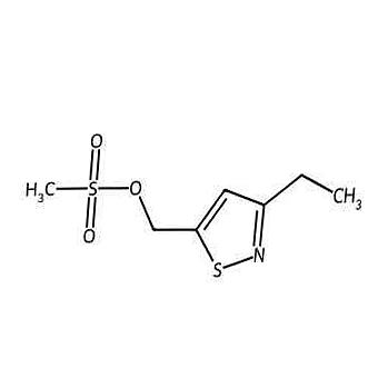 CCc1cc(COS(C)(=O)=O)sn1